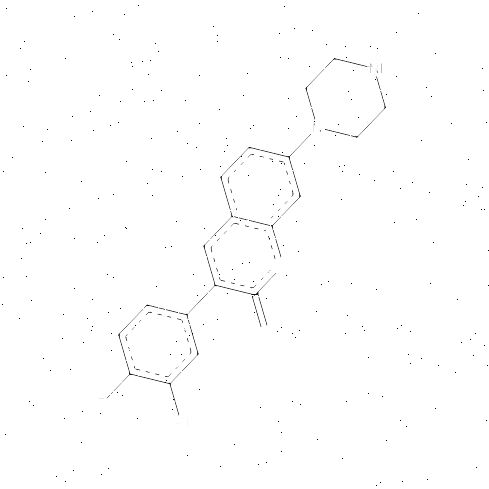 O=c1oc2cc(N3CCNCC3)ccc2cc1-c1ccc(F)c(Cl)c1